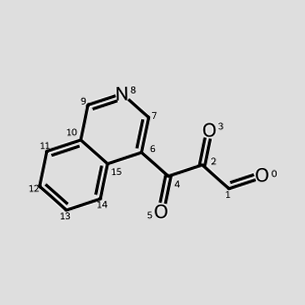 O=CC(=O)C(=O)c1cncc2ccccc12